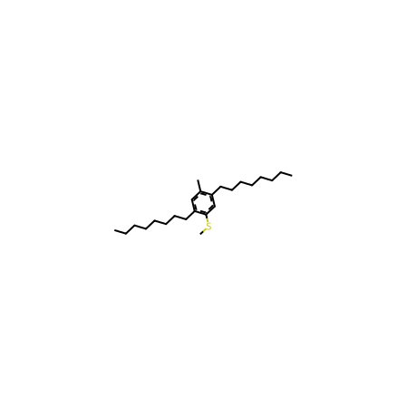 CCCCCCCCc1cc(SC)c(CCCCCCCC)cc1C